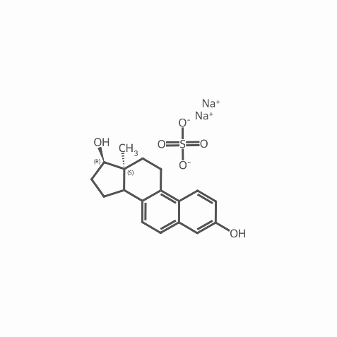 C[C@]12CCc3c(ccc4cc(O)ccc34)C1CC[C@H]2O.O=S(=O)([O-])[O-].[Na+].[Na+]